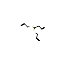 C=CCSC(CC=C)SCC=C